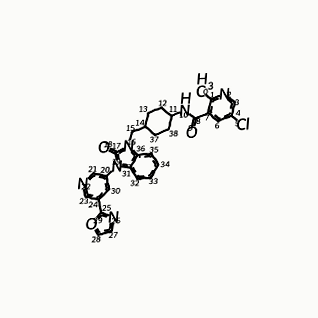 Cc1ncc(Cl)cc1C(=O)NC1CCC(Cn2c(=O)n(-c3cncc(-c4ncco4)c3)c3ccccc32)CC1